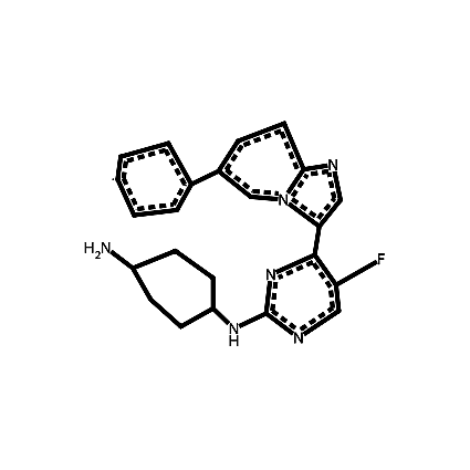 NC1CCC(Nc2ncc(F)c(-c3cnc4ccc(-c5cc[c]cc5)cn34)n2)CC1